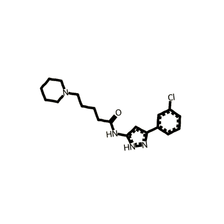 O=C(CCCCN1CCCCC1)Nc1cc(-c2cccc(Cl)c2)n[nH]1